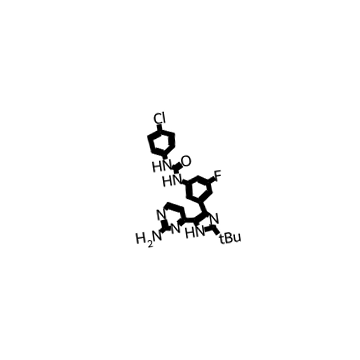 CC(C)(C)c1nc(-c2cc(F)cc(NC(=O)Nc3ccc(Cl)cc3)c2)c(-c2ccnc(N)n2)[nH]1